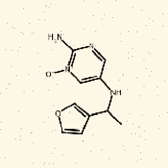 CC(Nc1cnc(N)[n+]([O-])c1)c1ccoc1